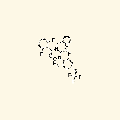 CN(C(=O)N(Cc1ccco1)C(=O)c1c(F)cccc1F)c1ccc(SC(F)(F)F)cc1F